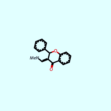 CNC=C1C(=O)c2ccccc2OC1c1ccccc1